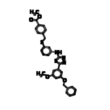 COC(=O)c1ccc(CSc2cccc(Nc3nnc(-c4cc(OC)cc(OCc5ccccc5)c4)s3)c2)cc1